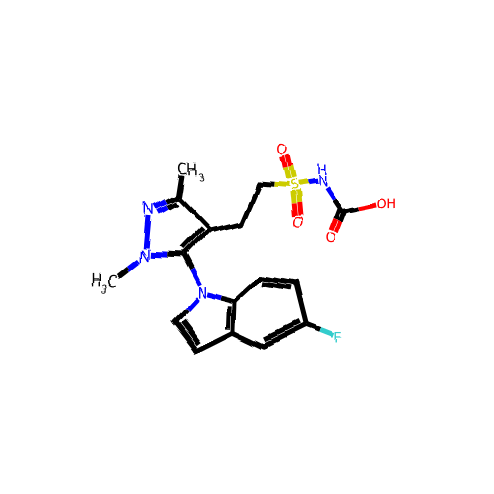 Cc1nn(C)c(-n2ccc3cc(F)ccc32)c1CCS(=O)(=O)NC(=O)O